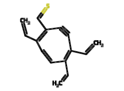 C=C/C1=C(C=C)/C=C\C(C=C)=C(\C=S)C#C1